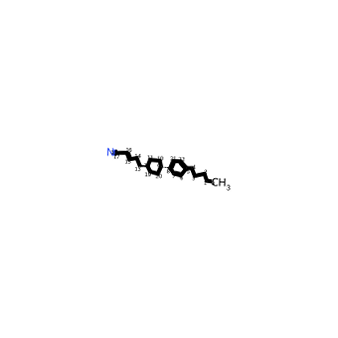 CCCCCc1ccc([C@H]2CC[C@H](CCC=CC#N)CC2)cc1